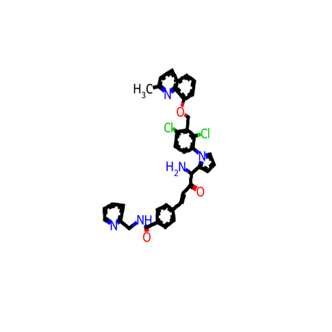 Cc1ccc2cccc(OCc3c(Cl)ccc(-n4cccc4C(N)C(=O)/C=C/c4ccc(C(=O)NCc5ccccn5)cc4)c3Cl)c2n1